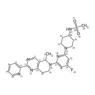 CC1c2cnc(-c3ccccn3)nc2CCN1c1cc(F)cc(N2CCC(NS(C)(=O)=O)CC2)n1